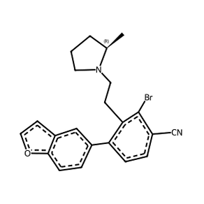 C[C@@H]1CCCN1CCc1c(-c2ccc3occc3c2)ccc(C#N)c1Br